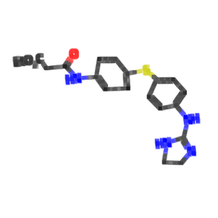 CCOC(=O)CC(=O)Nc1ccc(Sc2ccc(NC3=NCCN3)cc2)cc1